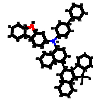 CC1(C)c2ccccc2-c2c(-c3ccc(N(c4ccc(-c5ccccc5)cc4)c4ccc5c(c4)oc4ccccc45)c4ccccc34)cc3ccccc3c21